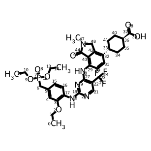 CCOc1cc(CP(=O)(OCC)OCC)ccc1Nc1ncc(C(F)(F)F)c(Nc2ccc([C@H]3CC[C@H](C(=O)O)CC3)c3c2C(=O)N(C)C3)n1